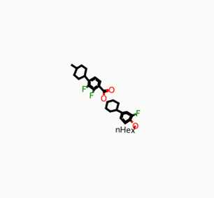 CCCCCCOc1ccc(C2CCC(OC(=O)c3ccc(C4CCC(C)CC4)c(F)c3F)CC2)cc1F